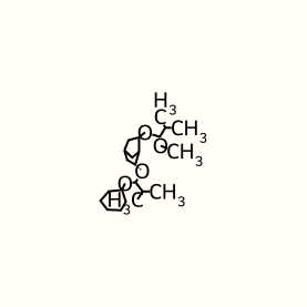 COC(OC1CC2CC1[C@H](OC(OC1CCCCC1)C(C)C)C2)C(C)C